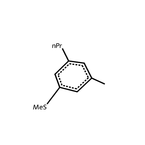 CCCc1cc(C)cc(SC)c1